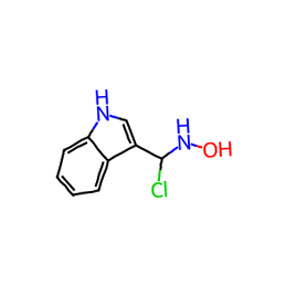 ONC(Cl)c1c[nH]c2ccccc12